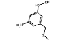 CSCc1cc(N)cc(NO)c1